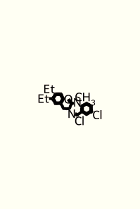 CCc1ccc(CC2N=C(Cl)c3cc(Cl)ccc3N(C)C2=O)cc1CC